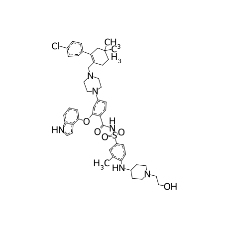 Cc1cc(S(=O)(=O)NC(=O)c2ccc(N3CCN(CC4=C(c5ccc(Cl)cc5)CC(C)(C)CC4)CC3)cc2Oc2cccc3[nH]ccc23)ccc1NC1CCN(CCO)CC1